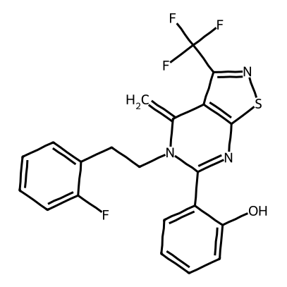 C=C1c2c(C(F)(F)F)nsc2N=C(c2ccccc2O)N1CCc1ccccc1F